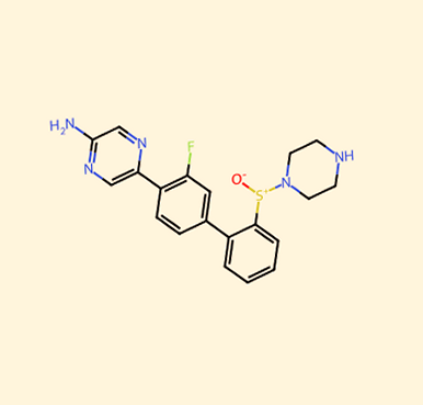 Nc1cnc(-c2ccc(-c3ccccc3[S+]([O-])N3CCNCC3)cc2F)cn1